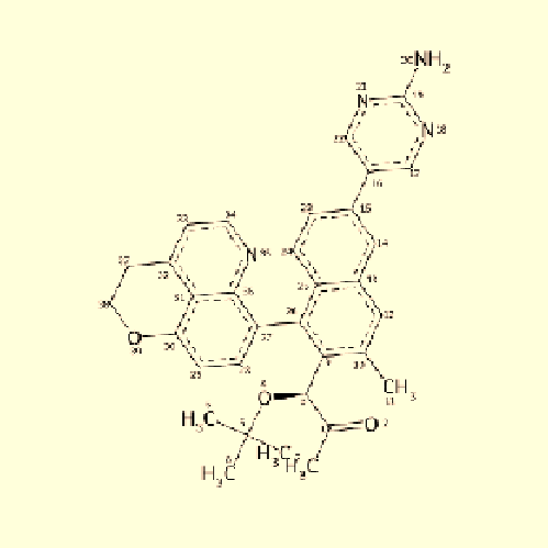 CC(=O)[C@@H](OC(C)(C)C)c1c(C)cc2cc(-c3cnc(N)nc3)ccc2c1-c1ccc2c3c(ccnc13)CCO2